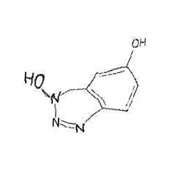 Oc1ccc2nnn(O)c2c1